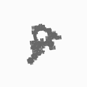 CC(C)C[C@H](NC(=O)c1ccc(-c2ccccc2)cc1)C(=O)N1CCC[C@H]1[C@H](O)N[C@H]1CSSC[C@@H](C)NC(=O)[C@H](C(C)O)NC(=O)CNC(=O)[C@H](Cc2ccc(O)cc2)NC(=O)[C@H](Cc2ccc(O)cc2)NC(=O)[C@H](CC(=O)O)NC1=O